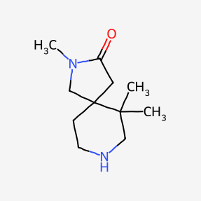 CN1CC2(CCNCC2(C)C)CC1=O